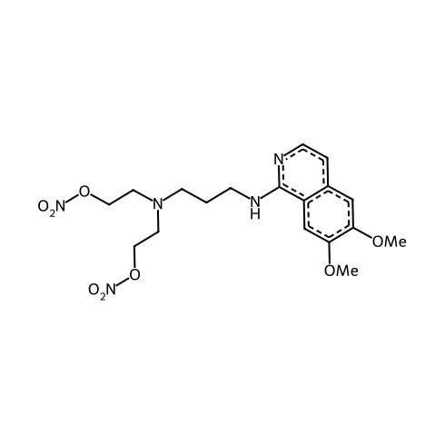 COc1cc2ccnc(NCCCN(CCO[N+](=O)[O-])CCO[N+](=O)[O-])c2cc1OC